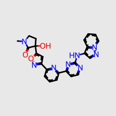 CN1CCC(O)(c2cc(-c3cccc(-c4ccnc(Nc5cnn6ccccc56)n4)n3)no2)C1=O